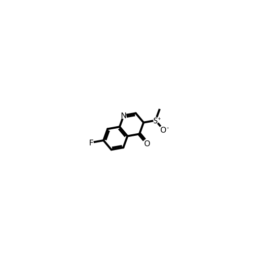 C[S+]([O-])C1C=Nc2cc(F)ccc2C1=O